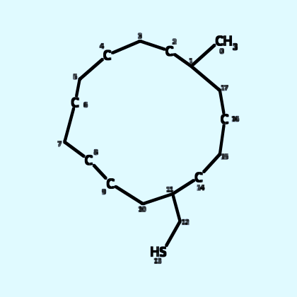 CC1CCCCCCCCCC(CS)CCCC1